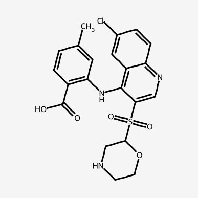 Cc1ccc(C(=O)O)c(Nc2c(S(=O)(=O)C3CNCCO3)cnc3ccc(Cl)cc23)c1